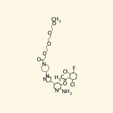 COCCOCCOCCOCC(=O)N1CCC(n2cc(-c3cnc(N)c(O[C@H](C)c4c(Cl)ccc(F)c4Cl)c3)cn2)CC1